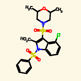 CC1CN(S(=O)(=O)c2c(C(=O)O)n(S(=O)(=O)c3ccccc3)c3cccc(Cl)c23)CC(C)O1